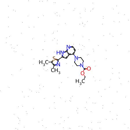 CCOC(=O)N1CCN(c2ccnc3[nH]c(-c4nc(C)c(C)s4)cc23)CC1